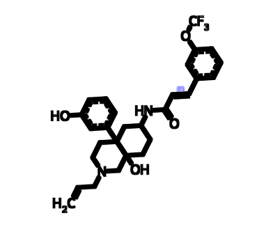 C=CCN1CCC2(c3cccc(O)c3)CC(NC(=O)/C=C/c3cccc(OC(F)(F)F)c3)CCC2(O)C1